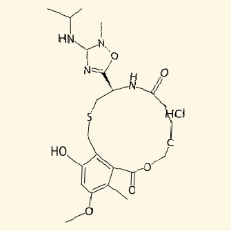 COc1cc(O)c2c(c1C)C(=O)OCCCCC(=O)N[C@H](C1=NC(NC(C)C)N(C)O1)CSC2.Cl